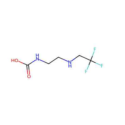 O=C(O)NCCNCC(F)(F)F